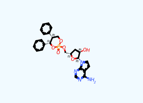 Nc1ncnc2c1ccn2[C@@H]1O[C@H](COP2(=O)OC[C@@H](c3ccccc3)[C@@H](c3ccccc3)O2)C[C@H]1O